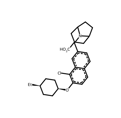 CC[C@H]1CC[C@@H](Oc2ccc3ccc(CN4C5CCC4CC(C(=O)O)C5)cc3c2Cl)CC1